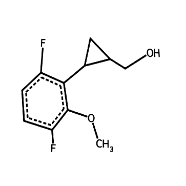 COc1c(F)ccc(F)c1C1CC1CO